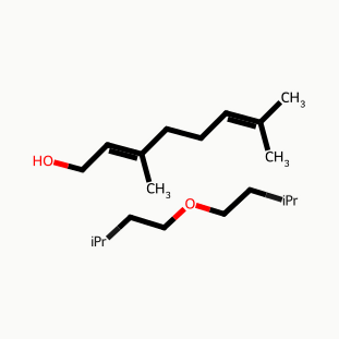 CC(C)=CCC/C(C)=C/CO.CC(C)CCOCCC(C)C